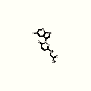 O=C(O)CNc1ccc(=O)n(-c2c[nH]c3ncc(F)cc23)n1